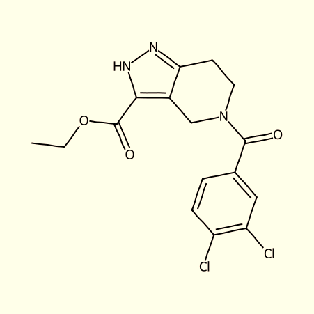 CCOC(=O)c1[nH]nc2c1CN(C(=O)c1ccc(Cl)c(Cl)c1)CC2